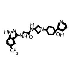 O=C(CNc1n[nH]c2ccc(C(F)(F)F)cc12)NC1CN(C2CCC(O)(c3cccnc3)CC2)C1